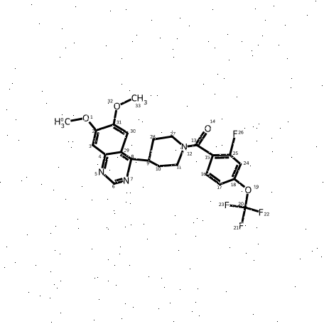 COc1cc2ncnc(C3CCN(C(=O)c4ccc(OC(F)(F)F)cc4F)CC3)c2cc1OC